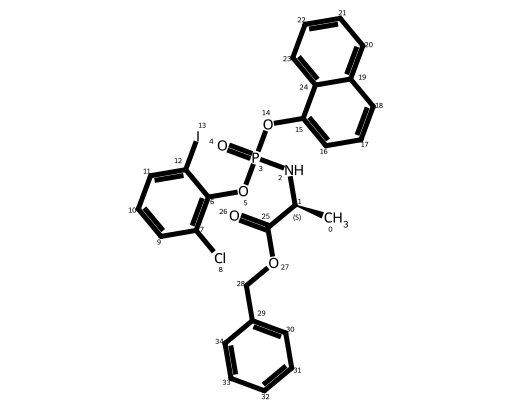 C[C@H](NP(=O)(Oc1c(Cl)cccc1I)Oc1cccc2ccccc12)C(=O)OCc1ccccc1